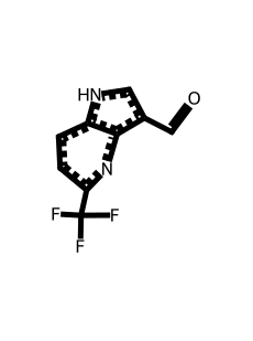 O=Cc1c[nH]c2ccc(C(F)(F)F)nc12